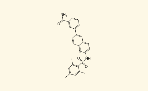 Cc1cc(C)c(S(=O)(=O)Nc2ccc3cc(-c4cccc(C(N)=O)c4)ccc3n2)c(C)c1